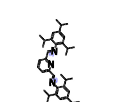 CC(C)c1cc(C(C)C)c(/N=C/c2cccc(/C=N/c3c(C(C)C)cc(C(C)C)cc3C(C)C)n2)c(C(C)C)c1